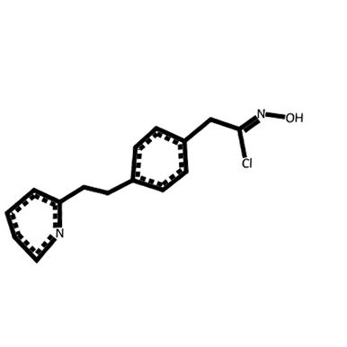 O/N=C(\Cl)Cc1ccc(CCc2ccccn2)cc1